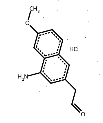 COc1ccc2cc(CC=O)cc(N)c2c1.Cl